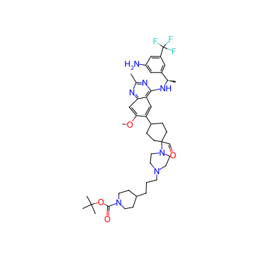 COc1cc2nc(C)nc(N[C@H](C)c3cc(N)cc(C(F)(F)F)c3)c2cc1C1CCC(C=O)(N2CCN(CCCC3CCN(C(=O)OC(C)(C)C)CC3)CC2)CC1